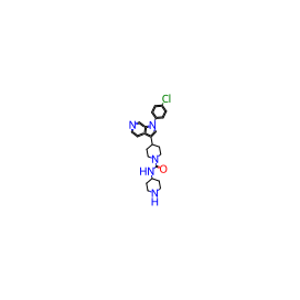 O=C(NC1CCNCC1)N1CCC(c2cn(-c3ccc(Cl)cc3)c3cnccc23)CC1